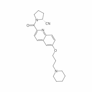 N#C[C@H]1CCCN1C(=O)c1ccc2cc(OCCCN3CCCCC3)ccc2n1